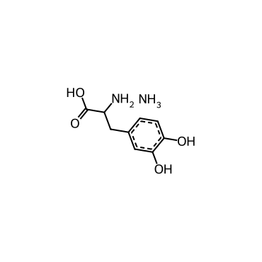 N.NC(Cc1ccc(O)c(O)c1)C(=O)O